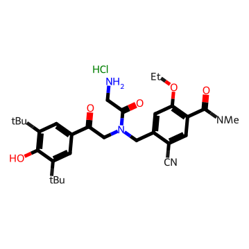 CCOc1cc(CN(CC(=O)c2cc(C(C)(C)C)c(O)c(C(C)(C)C)c2)C(=O)CN)c(C#N)cc1C(=O)NC.Cl